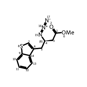 COC(=O)C[C@@H](Cc1csc2ccccc12)N=[N+]=[N-]